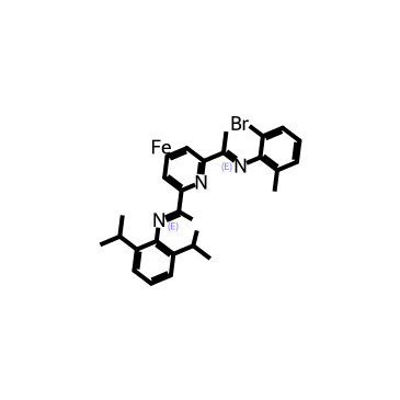 C/C(=N\c1c(C)cccc1Br)c1cccc(/C(C)=N/c2c(C(C)C)cccc2C(C)C)n1.[Fe]